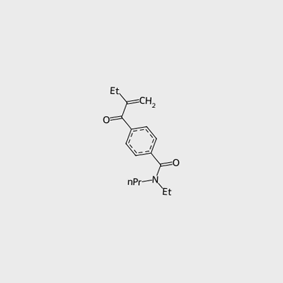 C=C(CC)C(=O)c1ccc(C(=O)N(CC)CCC)cc1